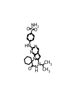 CC(C)N1NC(=O)C2(CCCCC2)n2c1cc1cnc(Nc3ccc(S(N)(=O)=O)cc3)nc12